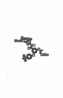 COC[C@H](C)Oc1cc(Oc2ccc(S(C)(=O)=O)cc2)cc(C(=O)Nc2nc(CP(=O)(OC)OC)cs2)c1